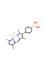 CC1=C(c2ccc(B(O)O)cc2)C(C)=[N+]2C1=Cc1c(C)cc(C)n1[B-]2(F)F